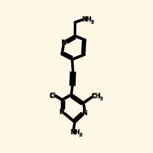 Cc1nc(N)nc(Cl)c1C#Cc1ccc(CN)nc1